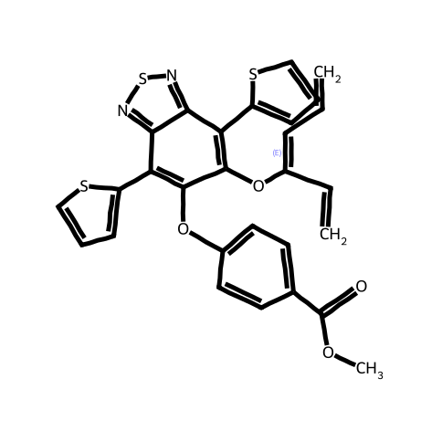 C=C/C=C(\C=C)Oc1c(Oc2ccc(C(=O)OC)cc2)c(-c2cccs2)c2nsnc2c1-c1cccs1